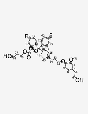 COc1cc(CCO)ccc1OCCCN1CCC(C(OC(=O)C(=O)OCCCO)(c2ccc(F)cc2)c2ccc(F)cc2)CC1